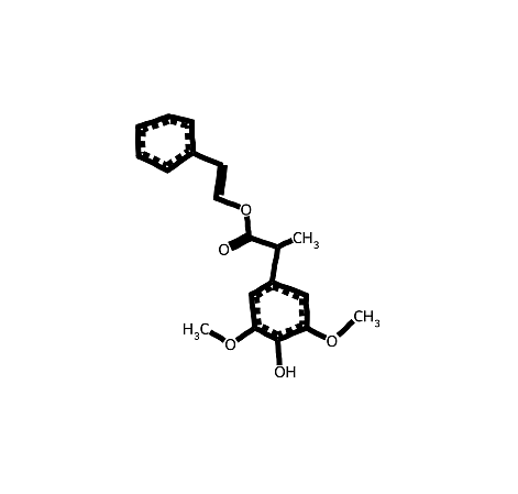 COc1cc(C(C)C(=O)OC=Cc2ccccc2)cc(OC)c1O